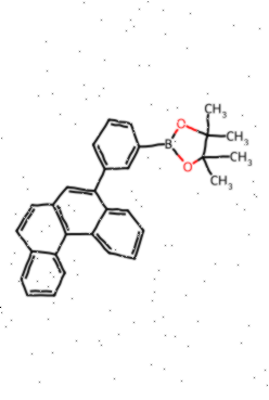 CC1(C)OB(c2cccc(-c3cc4ccc5ccccc5c4c4ccccc34)c2)OC1(C)C